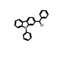 CCC(c1ccccc1)c1ccc2c3ccccc3n(-c3ccccc3)c2c1